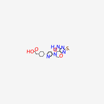 CSc1nc(N)c2c(n1)OCCN(c1ccc([C@H]3CC[C@H](CC(=O)O)CC3)nc1)C2=O